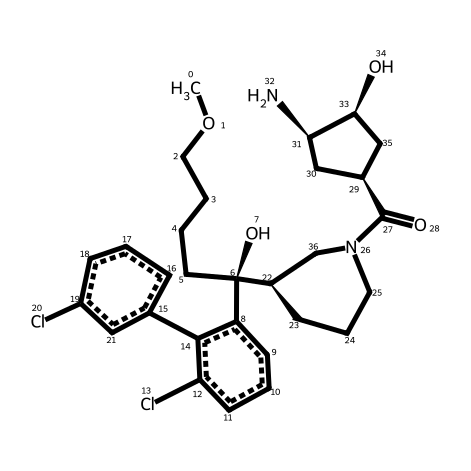 COCCCC[C@@](O)(c1cccc(Cl)c1-c1cccc(Cl)c1)[C@@H]1CCCN(C(=O)[C@H]2C[C@@H](N)[C@@H](O)C2)C1